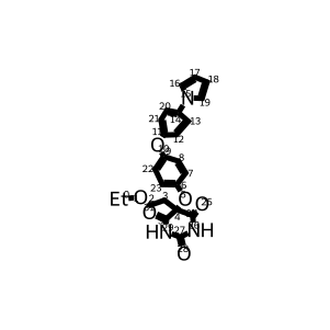 CCOCCC1(Oc2ccc(Oc3ccc(-n4cccc4)cc3)cc2)C(=O)NC(=O)NC1=O